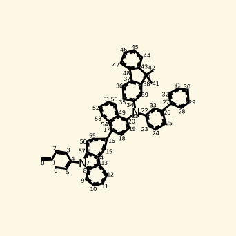 C=C/C=C\C(=C/C)n1c2ccccc2c2cc(-c3ccc(N(c4cccc(-c5ccccc5)c4)c4ccc5c(c4)C(C)(C)c4ccccc4-5)c4ccccc34)ccc21